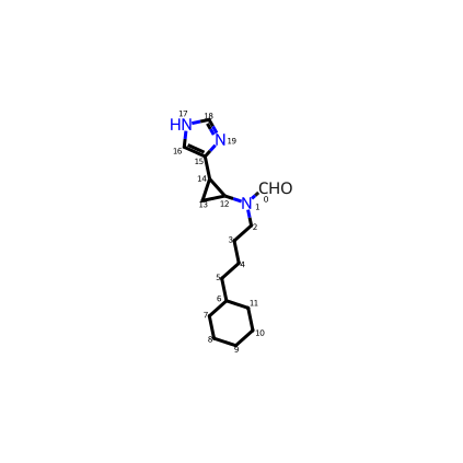 O=CN(CCCCC1CCCCC1)C1CC1c1c[nH]cn1